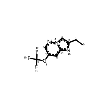 CCc1cn2ncc(OC(F)(F)F)cc2n1